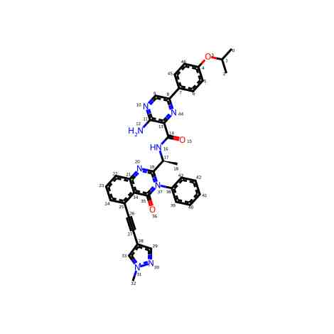 CC(C)Oc1ccc(-c2cnc(N)c(C(=O)N[C@@H](C)c3nc4cccc(C#Cc5cnn(C)c5)c4c(=O)n3-c3ccccc3)n2)cc1